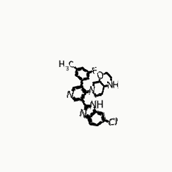 Cc1cc(F)cc(-c2cncc(-c3nc4ccc(Cl)cc4[nH]3)c2N2CCC3NCCOC3C2)c1